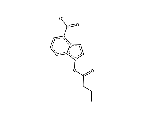 CCCC(=O)On1ccc2c([N+](=O)[O-])cccc21